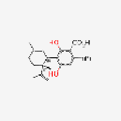 C=C(C)[C@]1(C)CCC(C)=C[C@H]1c1c(O)cc(CCC)c(C(=O)O)c1O